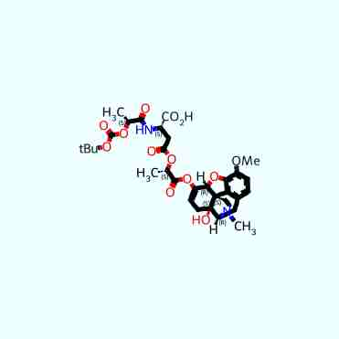 COc1ccc2c3c1O[C@H]1C(OC(=O)[C@H](C)OC(=O)C[C@H](NC(=O)[C@H](C)OC(=O)OC(C)(C)C)C(=O)O)=CC[C@@]4(O)[C@@H](C2)N(C)CC[C@]314